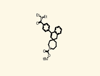 CCN(CC)C(=O)c1ccc(C2=CC3(CCCN(C(=O)OC(C)(C)C)CC3)Cc3ccccc32)cc1